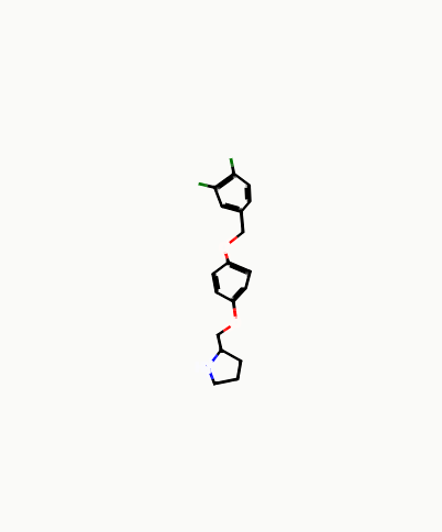 Fc1ccc(COc2ccc(OCC3CCCN3)cc2)cc1F